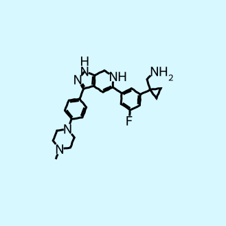 CN1CCN(c2ccc(-c3n[nH]c4c3C=C(c3cc(F)cc(C5(CN)CC5)c3)NC4)cc2)CC1